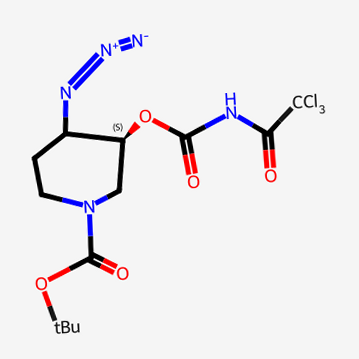 CC(C)(C)OC(=O)N1CCC(N=[N+]=[N-])[C@@H](OC(=O)NC(=O)C(Cl)(Cl)Cl)C1